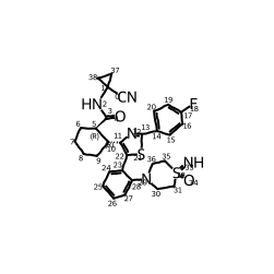 N#CC1(NC(=O)[C@@H]2CCCC[C@H]2c2nc(-c3ccc(F)cc3)sc2-c2ccccc2N2CCS(=N)(=O)CC2)CC1